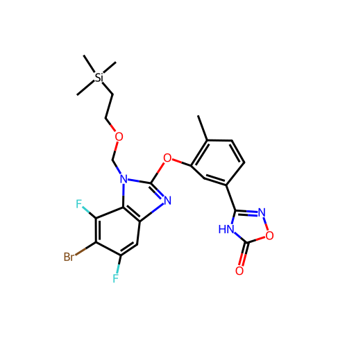 Cc1ccc(-c2noc(=O)[nH]2)cc1Oc1nc2cc(F)c(Br)c(F)c2n1COCC[Si](C)(C)C